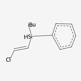 CCC(C)[SiH](C=CCl)c1ccccc1